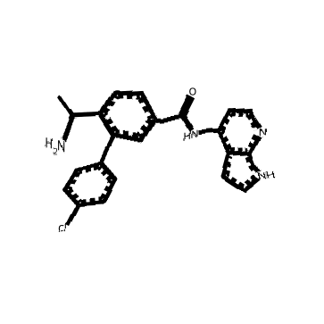 CC(N)c1ccc(C(=O)Nc2ccnc3[nH]ccc23)cc1-c1ccc(Cl)cc1